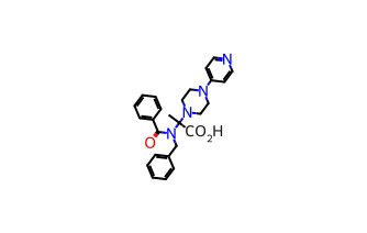 CC(C(=O)O)(N1CCN(c2ccncc2)CC1)N(Cc1ccccc1)C(=O)c1ccccc1